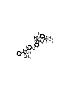 Cc1[nH]c(-c2cc(Oc3ccc4c(c3)nc(Nc3cc(C(C)(C)C)ccc3F)n4C)ccn2)nc1-c1ccccc1